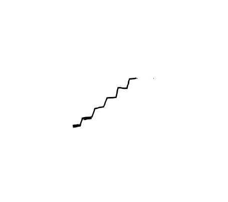 C=C/C=C/CCCCCCCCCCCCC